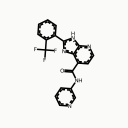 O=C(Nc1cccnc1)c1ccnc2[nH]c(-c3ccccc3C(F)(F)F)nc12